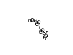 CCCCC1COC(CCCCC2COC(c3ccc(OC(F)F)c(F)c3)OC2)OC1